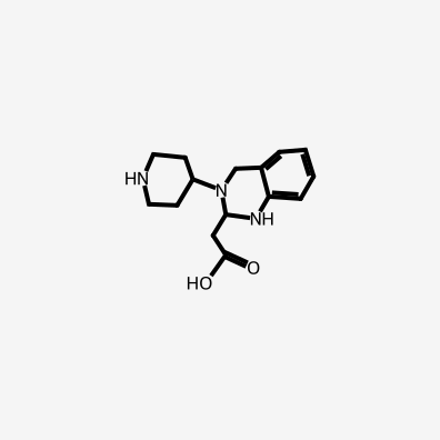 O=C(O)CC1Nc2ccccc2CN1C1CCNCC1